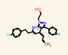 C=C/C=C(\C=C(/N)CCc1ccc(F)cc1)c1cn(CCO)nc1-c1ccc(F)cc1